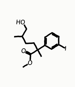 COC(=O)C(C)(CCC(C)CO)c1cccc(I)c1